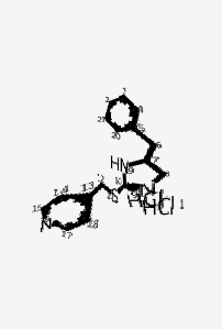 Cl.Cl.c1ccc(CC2CN=C(SCc3ccncc3)N2)cc1